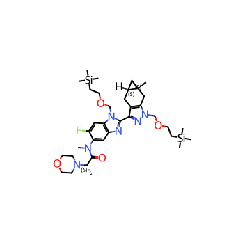 C[C@@H](C(=O)N(C)c1cc2nc(-c3nn(COCC[Si](C)(C)C)c4c3C[C@@H]3C[C@]3(C)C4)n(COCC[Si](C)(C)C)c2cc1F)N1CCOCC1